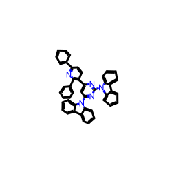 c1ccc(-c2ccc(-c3cc(-n4c5ccccc5c5ccccc54)nc(-n4c5ccccc5c5ccccc54)n3)c(-c3ccccc3)n2)cc1